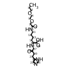 CCCOCCOCC(=O)NCCCC[C@H](NCC(=O)CCc1cnc[nH]1)C(=O)O